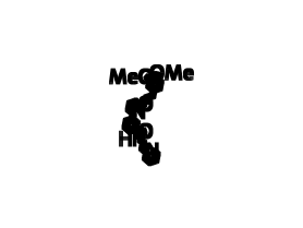 COc1ccc(CCOc2cccc(-c3cccc(C(=O)NCCc4ccccn4)c3)n2)cc1OC